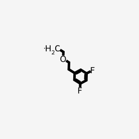 [CH2]COCCc1cc(F)cc(F)c1